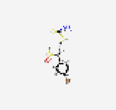 C[S+]([O-])C(CCSC(N)=S)c1ccc(Br)cc1